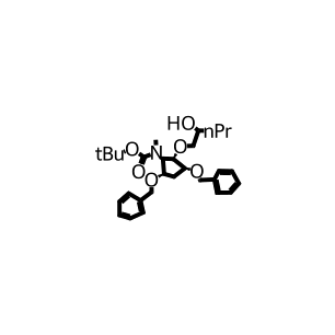 CCCC(O)CO[C@@H]1[C@@H](N(C)C(=O)OC(C)(C)C)[C@H](OCc2ccccc2)C[C@@H]1OCc1ccccc1